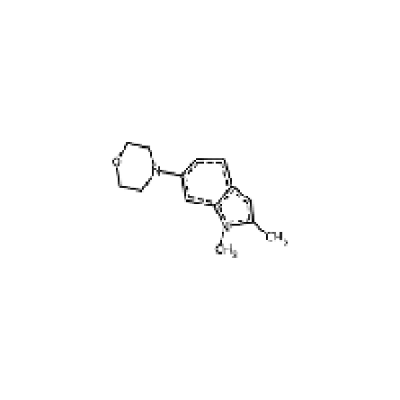 Cc1cc2ccc(N3CCOCC3)cc2n1C